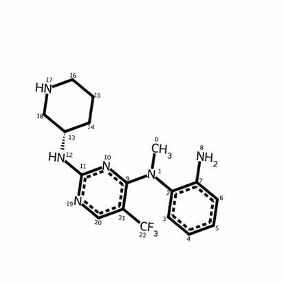 CN(c1ccccc1N)c1nc(N[C@H]2CCCNC2)ncc1C(F)(F)F